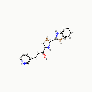 O=C(CCc1cccnc1)C1CSC(c2nc3c(s2)=CCCC=3)=N1